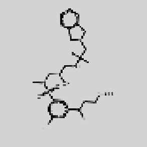 CC(CCC(=O)O)c1cc(C(F)(F)F)cc(S(=O)(=O)N(C)C[C@H](O)CNC(C)(C)CC2Cc3ccccc3C2)c1